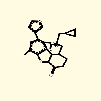 Cc1cc(-c2ccoc2)c2c3c1OC1C(=O)CCC4C(C2)N(CC2CC2)CC[C@@]314